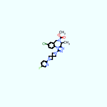 COC(=O)N1Cc2cc(Cl)ccc2-n2c(nnc2N2CC3(CN(c4ccc(F)cn4)C3)C2)C1C